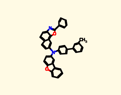 Cc1cccc(-c2ccc(N(c3ccc4oc5ccccc5c4c3)c3ccc4ccc5nc(-c6ccccc6)oc5c4c3)cc2)c1